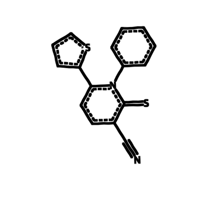 N#Cc1ccc(-c2cccs2)n(-c2ccccc2)c1=S